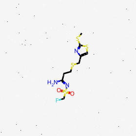 CSc1nc(CSCCC(N)=NS(=O)(=O)CF)cs1